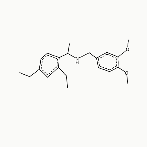 CCc1ccc(C(C)NCc2ccc(OC)c(OC)c2)c(CC)c1